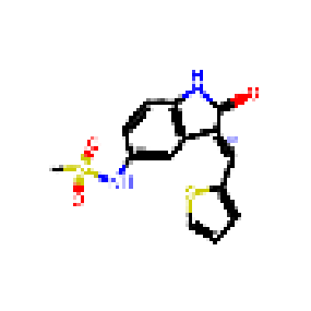 CS(=O)(=O)Nc1ccc2c(c1)/C(=C\c1cccs1)C(=O)N2